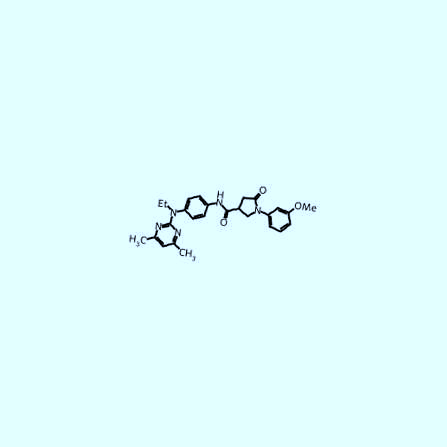 CCN(c1ccc(NC(=O)C2CC(=O)N(c3cccc(OC)c3)C2)cc1)c1nc(C)cc(C)n1